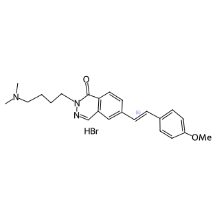 Br.COc1ccc(/C=C/c2ccc3c(=O)n(CCCCN(C)C)ncc3c2)cc1